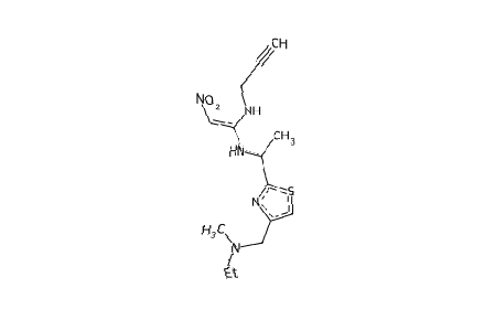 C#CCNC(=C[N+](=O)[O-])NC(C)c1nc(CN(C)CC)cs1